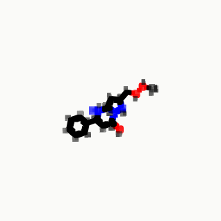 CCOOCc1cc2[nH]c(-c3ccccc3)cc(=O)n2n1